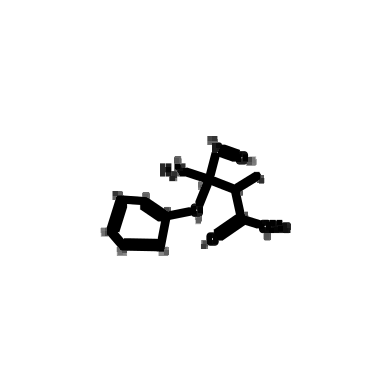 COC(=O)C(C)C(N)(Oc1ccccc1)P=O